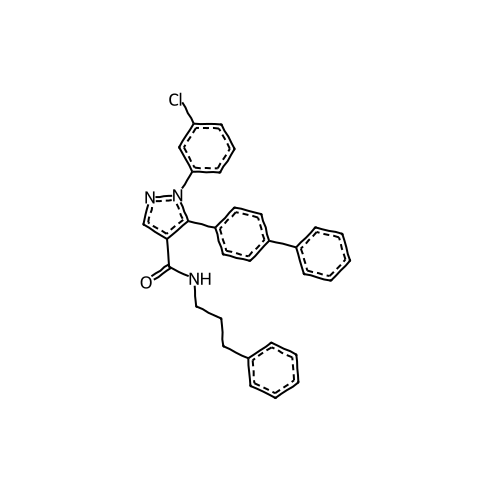 O=C(NCCCc1ccccc1)c1cnn(-c2cccc(Cl)c2)c1-c1ccc(-c2ccccc2)cc1